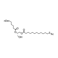 CCCCCCCCCCCCCCC(=O)O[C@@H](CO)COC(=O)CCCCCCCCCCCSC(C)=O